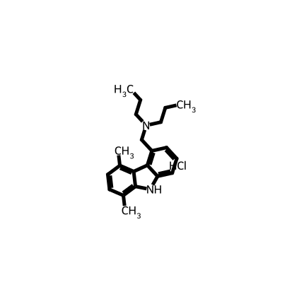 CCCN(CCC)Cc1cccc2[nH]c3c(C)ccc(C)c3c12.Cl